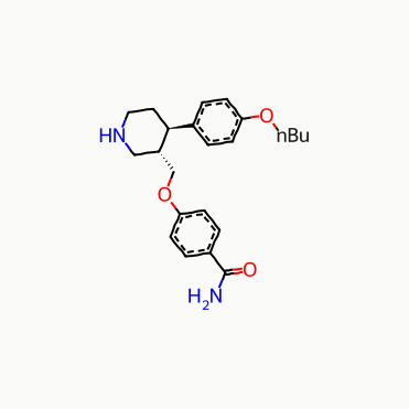 CCCCOc1ccc([C@@H]2CCNC[C@H]2COc2ccc(C(N)=O)cc2)cc1